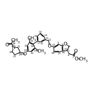 COC(=O)C[C@@H]1COc2cc(OCc3cccc(-c4c(C)cc(O[C@H]5CCN(C(C)=O)C5)cc4C)c3)ccc21